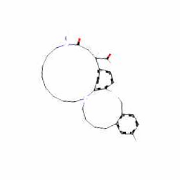 CN1CCCCCCCCN2CCCCc3cc(Cl)ccc3COc3ccc(cc32)[C@@](O)(C(=O)O)CC1=O